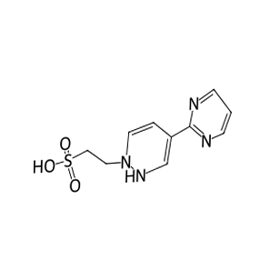 O=S(=O)(O)CCN1C=CC(c2ncccn2)=CN1